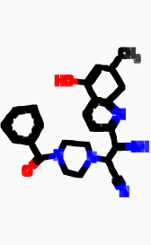 CC1C=C(O)c2ccc(C(=N)C(C#N)N3CCN(C(=O)c4ccccc4)CC3)nc2C1